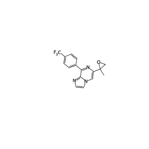 CC1(c2cn3ccnc3c(-c3ccc(C(F)(F)F)cc3)n2)CO1